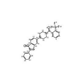 O=C(c1ccccc1C(F)(F)F)N1CCN(c2ccc3c(=O)n(-c4ccccc4)sc3c2)CC1